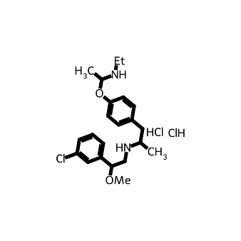 CCNC(C)Oc1ccc(CC(C)NCC(OC)c2cccc(Cl)c2)cc1.Cl.Cl